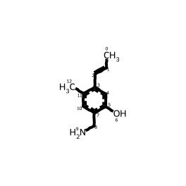 C/C=C/c1cc(O)c(CN)cc1C